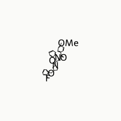 COc1ccc(C(=O)N(CC(=O)N2CC[C@@H](Oc3ccccc3F)C2)c2ccccc2)cc1